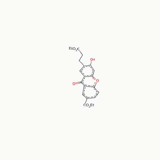 CCOC(=O)CCc1cc2c(=O)c3cc(C(=O)OCC)ccc3oc2cc1O